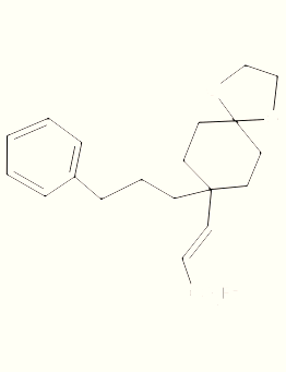 CCOC(=O)C=CC1(CCCc2ccccc2)CCC2(CC1)OCCO2